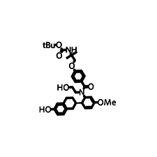 COC1=CC(N(CCO)C(=O)c2ccc(OCC(C)(C)NC(=O)OC(C)(C)C)cc2)C([C@@H]2CCc3cc(O)ccc3C2)C=C1